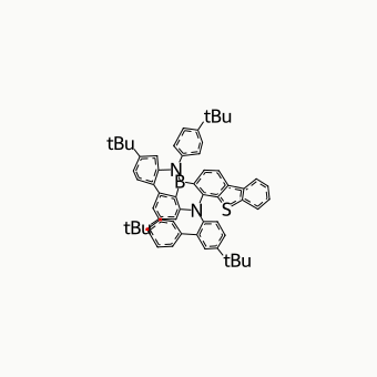 CC(C)(C)c1ccc(N2B3c4ccc5c(sc6ccccc65)c4N(c4ccc(C(C)(C)C)cc4-c4ccccc4)c4cc(C(C)(C)C)cc(c43)-c3ccc(C(C)(C)C)cc32)cc1